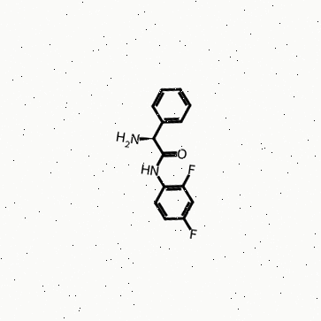 N[C@H](C(=O)Nc1ccc(F)cc1F)c1ccccc1